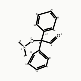 CN(C)OC(C=O)(c1ccccc1)c1ccccc1